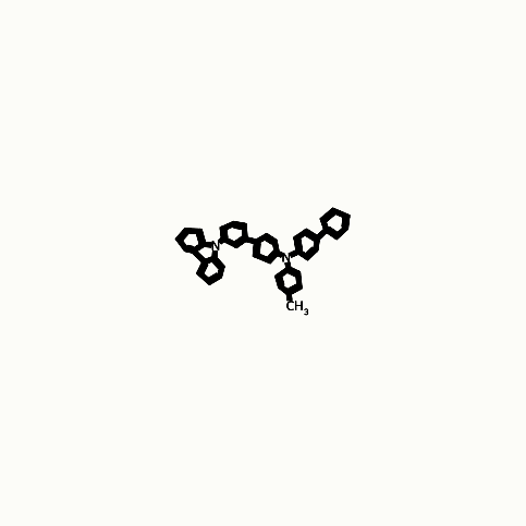 Cc1ccc(N(c2ccc(-c3ccccc3)cc2)c2ccc(-c3cccc(-n4c5ccccc5c5ccccc54)c3)cc2)cc1